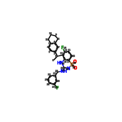 CC(c1ccc2c(c1)CCCC2)c1c(F)ccc2c1NC(NCc1cccc(F)c1)=NS2(=O)=O